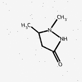 CC1CC(=O)NN1C